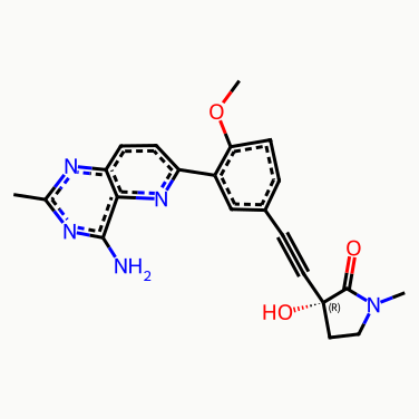 COc1ccc(C#C[C@]2(O)CCN(C)C2=O)cc1-c1ccc2nc(C)nc(N)c2n1